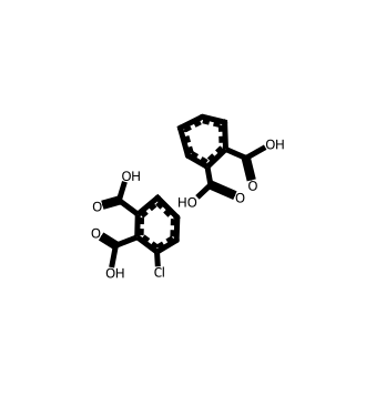 O=C(O)c1cccc(Cl)c1C(=O)O.O=C(O)c1ccccc1C(=O)O